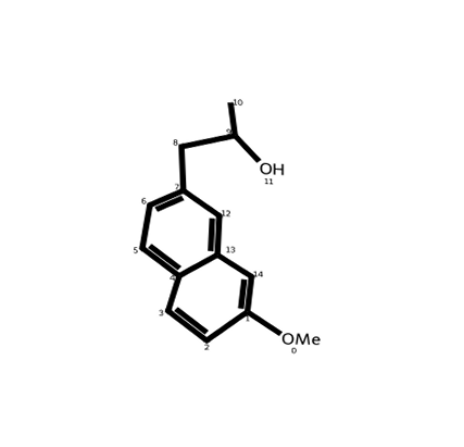 COc1ccc2ccc(CC(C)O)cc2c1